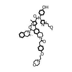 COCCn1cc(N(C(=O)c2cc(-c3cc4c(cc3C(=O)N3Cc5ccccc5C[C@H]3C)CN(C(=O)Cc3ccc(OCCN5CCOCC5)cc3)CC4)n(C)c2C)c2ccc(O)cc2)cn1